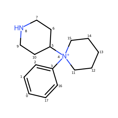 [c]1ccc([N+]2(C3CCNCC3)CCCCC2)cc1